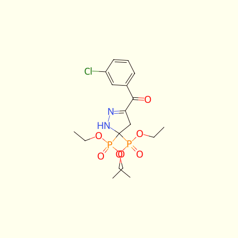 CCOP(=O)(OCC)C1(P(=O)(OCC)OCC)CC(C(=O)c2cccc(Cl)c2)=NN1